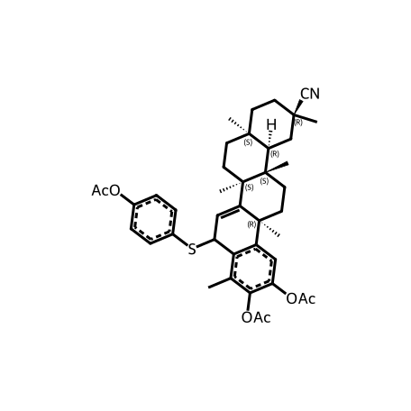 CC(=O)Oc1ccc(SC2C=C3[C@@](C)(CC[C@@]4(C)[C@@H]5C[C@](C)(C#N)CC[C@]5(C)CC[C@]34C)c3cc(OC(C)=O)c(OC(C)=O)c(C)c32)cc1